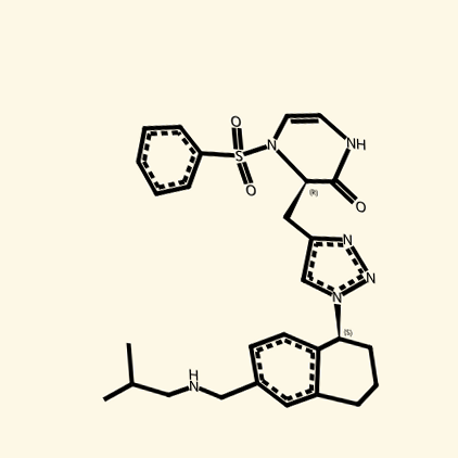 CC(C)CNCc1ccc2c(c1)CCC[C@@H]2n1cc(C[C@@H]2C(=O)NC=CN2S(=O)(=O)c2ccccc2)nn1